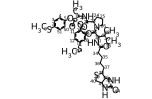 CSc1ccc(OP(=O)(Oc2ccc(SC)cc2)C(C)NC(=O)C2CCCN2C(=O)C(NC(=O)CCCCC2SCC3NC(=O)NC32)C(C)C)cc1